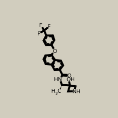 C[C@H](NC(=O)c1ccc2c(Oc3ccc(C(F)(F)F)cc3)cccc2c1)C1(O)CNC1